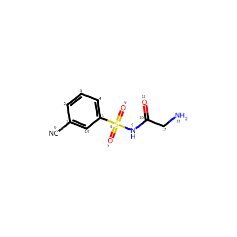 N#Cc1cccc(S(=O)(=O)NC(=O)CN)c1